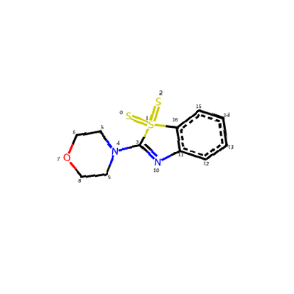 S=S1(=S)C(N2CCOCC2)=Nc2ccccc21